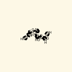 O=C(Nc1c[nH]c(=O)c(N2CCNCC2)c1)c1nc(Oc2cccnc2C(=O)Nc2scc3cc(N4CCNCC4)cnc23)ccc1O